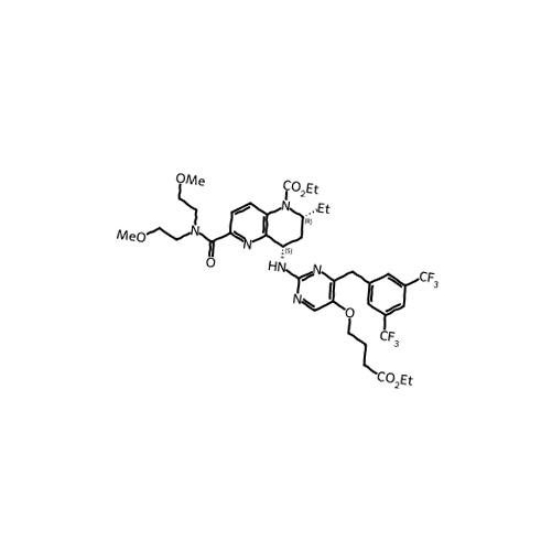 CCOC(=O)CCCOc1cnc(N[C@H]2C[C@@H](CC)N(C(=O)OCC)c3ccc(C(=O)N(CCOC)CCOC)nc32)nc1Cc1cc(C(F)(F)F)cc(C(F)(F)F)c1